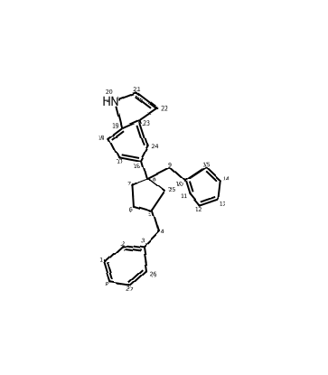 c1ccc(CC2CCC(Cc3ccccc3)(c3ccc4[nH]ccc4c3)C2)cc1